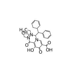 CCN1C(=O)c2c(O)c(=O)c(C(=O)O)cn2C(C(c2ccccc2)C2C=CC=CC2)N1CC